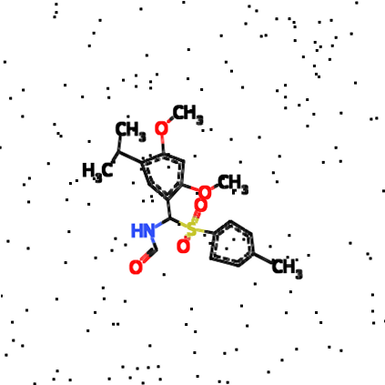 COc1cc(OC)c(C(NC=O)S(=O)(=O)c2ccc(C)cc2)cc1C(C)C